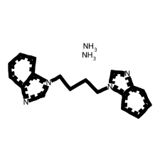 N.N.c1ccc2c(c1)ncn2CCCCn1cnc2ccccc21